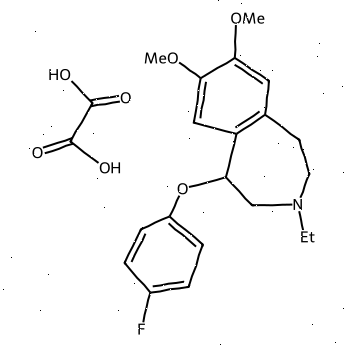 CCN1CCc2cc(OC)c(OC)cc2C(Oc2ccc(F)cc2)C1.O=C(O)C(=O)O